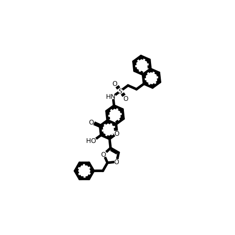 O=c1c(O)c(C2=COC(Cc3ccccc3)O2)oc2ccc(NS(=O)(=O)CCc3cccc4ccccc34)cc12